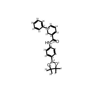 CC1(C)OB(c2ccc(NC(=O)C3=CC=CN(c4ccccc4)C3)cc2)OC1(C)C